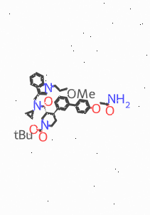 COCCCn1cc(CN(C(=O)[C@H]2CN(C(=O)OC(C)(C)C)CC[C@@H]2c2cccc(-c3ccc(OCC(N)=O)cc3)c2)C2CC2)c2ccccc21